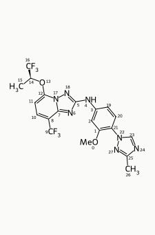 COc1cc(Nc2nc3c(C(F)(F)F)ccc(O[C@@H](C)C(F)(F)F)n3n2)ccc1-n1cnc(C)n1